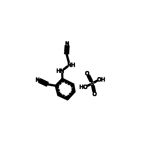 N#CNNc1ccccc1C#N.O=S(=O)(O)O